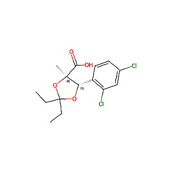 CCC1(CC)O[C@@H](c2ccc(Cl)cc2Cl)[C@](C)(C(=O)O)O1